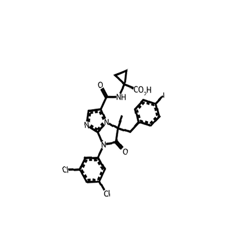 CC1(Cc2ccc(I)cc2)C(=O)N(c2cc(Cl)cc(Cl)c2)c2ncc(C(=O)NC3(C(=O)O)CC3)n21